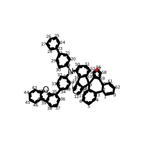 C1=CC2c3ccccc3C3(c4ccccc4-c4c(N(c5ccc(-c6ccccc6)cc5)c5ccc(-c6cccc7c6oc6ccccc67)cc5)cccc43)c3ccccc3C2C=C1